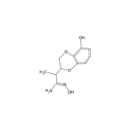 CC(C(N)=NO)C1COc2c(O)cccc2O1